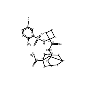 Cc1ccc(F)cc1S(=O)(=O)NC1(C(=O)NC23CC4CC(C2)CC(C(N)=O)(C4)C3)CCC1